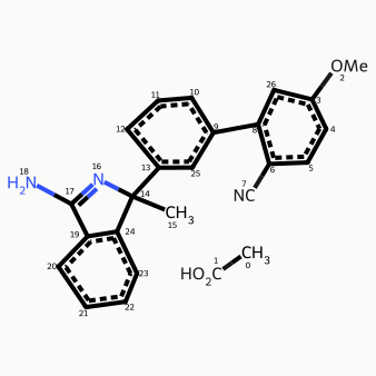 CC(=O)O.COc1ccc(C#N)c(-c2cccc(C3(C)N=C(N)c4ccccc43)c2)c1